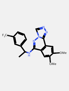 COc1cc2c(NC(C)c3cccc(C(F)(F)F)c3)nn3cnnc3c2cc1OC